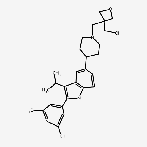 Cc1cc(-c2[nH]c3ccc(C4CCN(CC5(CO)COC5)CC4)cc3c2C(C)C)cc(C)n1